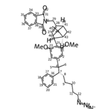 COc1cc(C(C)(C)[C@H](CCCCCN=[N+]=[N-])c2ccccc2)cc(OC)c1[C@H]1C=C(CN2C(=O)c3ccccc3C2=O)[C@H]2C[C@@H]1C2(C)C